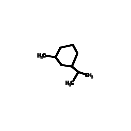 C[C]1CCCC(C(C)C)C1